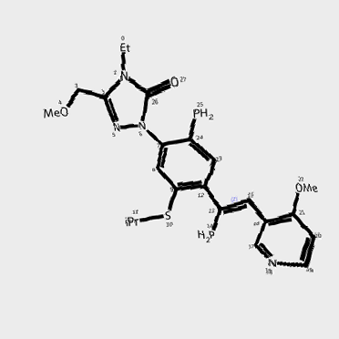 CCn1c(COC)nn(-c2cc(SC(C)C)c(/C(P)=C/c3cnccc3OC)cc2P)c1=O